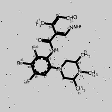 CN/C=C(C(=O)Nc1c(N2CC(C)N(C)C(C)C2)cc(F)c(Br)c1F)\C(=C/C=O)C(F)(F)F